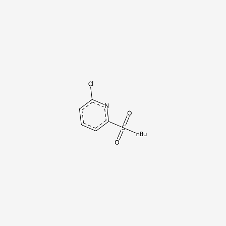 CCCCS(=O)(=O)c1cccc(Cl)n1